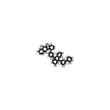 CC1c2oc3cccc(-c4cccc([C@@H]5c6ccccc6C(c6cccc(-c7ccccc7)c6)=C6C=CC=CC65)c4)c3c2C=C2C=CC=CC21